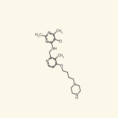 Cc1nc(C)c(Cl)c(NCc2nccc(OCCCCN3CCNCC3)c2C)n1